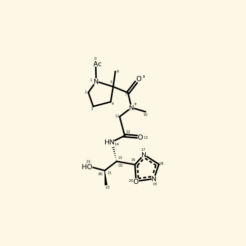 CC(=O)N1CCCC1(C)C(=O)N(C)CC(=O)N[C@H](c1ncno1)[C@@H](C)O